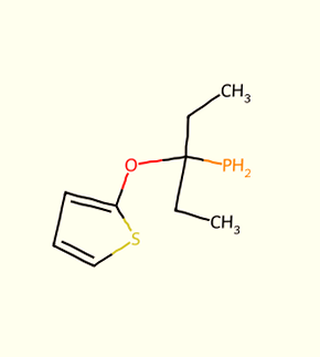 CCC(P)(CC)Oc1cccs1